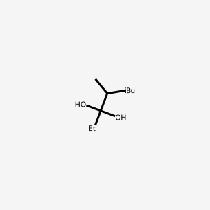 CCC(C)C(C)C(O)(O)CC